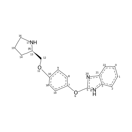 c1ccc2[nH]c(Oc3ccc(OC[C@H]4CCCN4)cc3)nc2c1